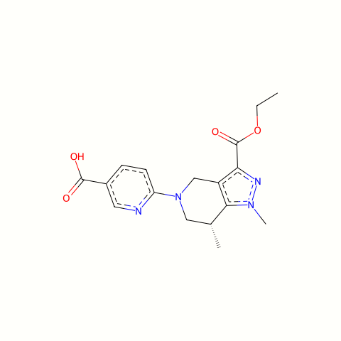 CCOC(=O)c1nn(C)c2c1CN(c1ccc(C(=O)O)cn1)C[C@H]2C